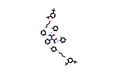 CCC(C)(C)c1ccc(OCCCC(=O)Nc2ccc(Cl)c(Nc3[nH]n(-c4c(Cl)cc(Cl)cc4Cl)c(=O)c3C(c3ccccc3)c3c(Nc4cc(NC(=O)CCCOc5ccc(C(C)(C)CC)cc5C(C)(C)CC)ccc4Cl)[nH]n(-c4c(Cl)cc(Cl)cc4Cl)c3=O)c2)c(C(C)(C)CC)c1